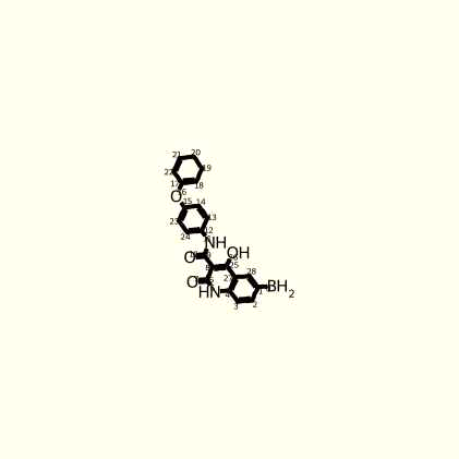 Bc1ccc2[nH]c(=O)c(C(=O)Nc3ccc(OC4=CCCC=C4)cc3)c(O)c2c1